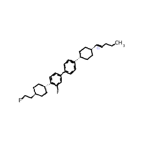 CCC/C=C/[C@H]1CC[C@H](c2ccc(-c3ccc([C@H]4CC[C@H](CCF)CC4)c(F)c3)cc2)CC1